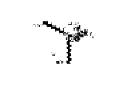 CCCCCCCC/C=C\CCCCCCCC(=O)OC[C@H](COP(=O)(O)OC(COC(=O)CCCCCCCCCCC)C[N+](C)(C)C)OC(=O)CCCCCCC/C=C\CCCCCCCC.[Cl-]